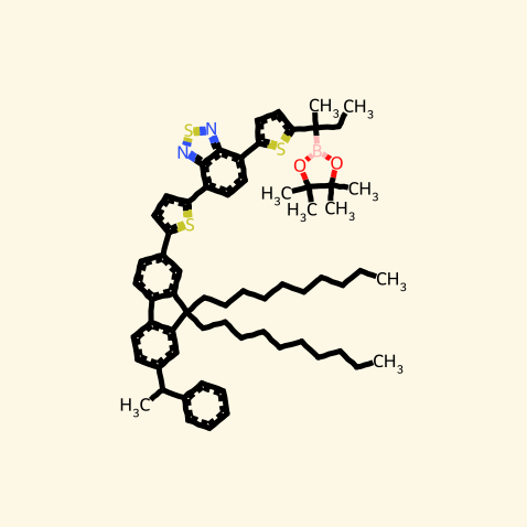 CCCCCCCCCCC1(CCCCCCCCCC)c2cc(-c3ccc(-c4ccc(-c5ccc(C(C)(CC)B6OC(C)(C)C(C)(C)O6)s5)c5nsnc45)s3)ccc2-c2ccc(C(C)c3ccccc3)cc21